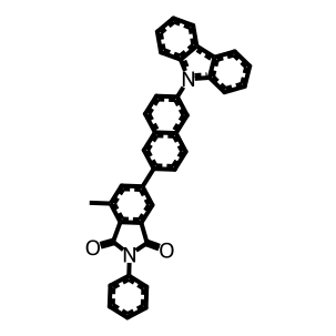 Cc1cc(-c2ccc3cc(-n4c5ccccc5c5ccccc54)ccc3c2)cc2c1C(=O)N(c1ccccc1)C2=O